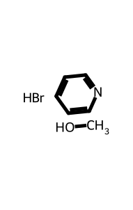 Br.CO.c1ccncc1